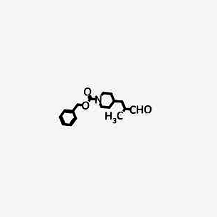 CC(C=O)CC1CCN(C(=O)OCc2ccccc2)CC1